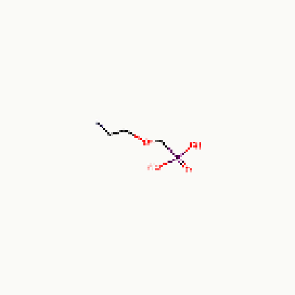 O=P(O)(O)COCCI